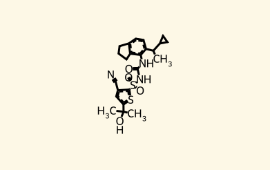 CC(c1ccc2c(c1NC(=O)NS(=O)(=O)c1sc(C(C)(C)O)cc1C#N)CCC2)C1CC1